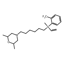 C=C[Si](C)(CCCCCCN1CC(C)OC(C)C1)c1ccccc1C(F)(F)F